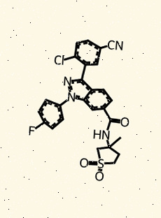 CC1(NC(=O)c2ccc3c(-c4cc(C#N)ccc4Cl)nn(-c4ccc(F)cc4)c3c2)CCS(=O)(=O)C1